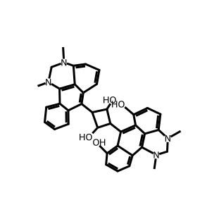 CN1CN(C)c2c3ccccc3c(C3C(O)C(c4c5c(O)cccc5c5c6c(ccc(O)c46)N(C)CN5C)C3O)c3cccc1c23